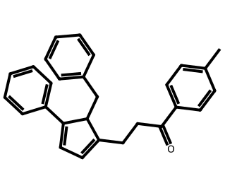 Cc1ccc(C(=O)CCC2=CC=C(c3ccccc3)C2Cc2ccccc2)cc1